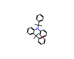 CC(C)(c1ccccc1)c1ccccc1N(c1ccccc1)C(C)(C)c1ccccc1